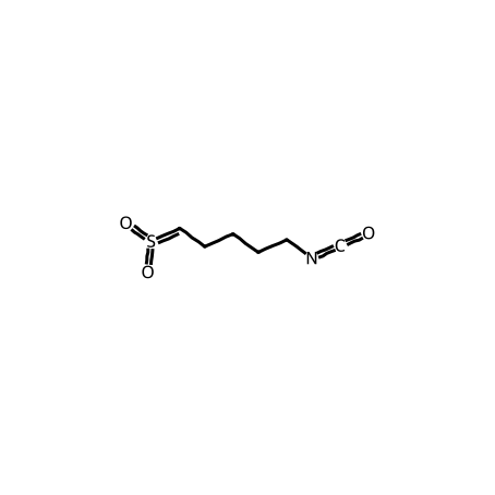 O=C=NCCCCC=S(=O)=O